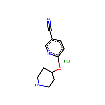 Cl.N#Cc1ccc(OC2CCNCC2)nc1